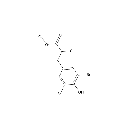 O=C(OCl)C(Cl)Cc1cc(Br)c(O)c(Br)c1